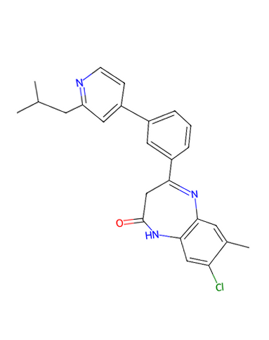 Cc1cc2c(cc1Cl)NC(=O)CC(c1cccc(-c3ccnc(CC(C)C)c3)c1)=N2